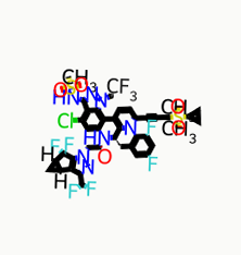 CC(C)(C#Cc1ccc(-c2ccc(Cl)c3c(NS(C)(=O)=O)nn(CC(F)(F)F)c23)c([C@H](Cc2cc(F)cc(F)c2)NC(=O)Cn2nc(C(F)F)c3c2C(F)(F)[C@@H]2C[C@H]32)n1)S(=O)(=O)C1CC1